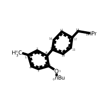 CCCCOc1ccc(C)cc1-c1ccc(CC(C)C)cc1